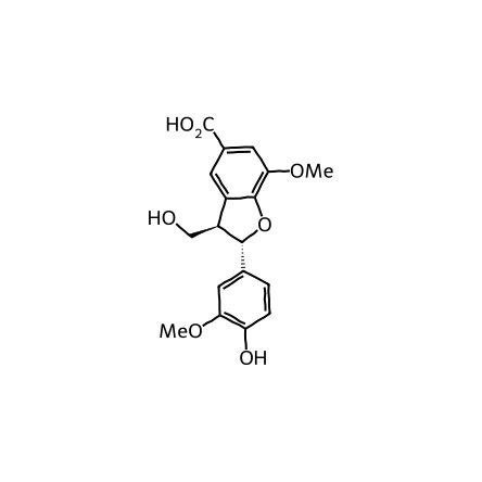 COc1cc([C@H]2Oc3c(OC)cc(C(=O)O)cc3[C@@H]2CO)ccc1O